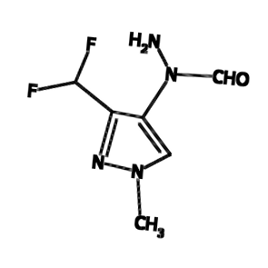 Cn1cc(N(N)C=O)c(C(F)F)n1